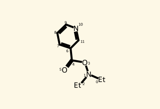 CCN(CC)OC(=O)c1cccnc1